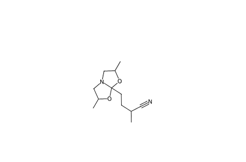 CC(C#N)CCC12OC(C)CN1CC(C)O2